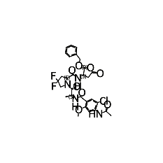 COc1cc(NC(C)=O)c(Cl)cc1C(=O)N[C@@H](C)C(=O)N1CC(F)(F)C[C@H]1C(=O)N[C@H]1CC(=O)O[C@H]1OCc1ccccc1